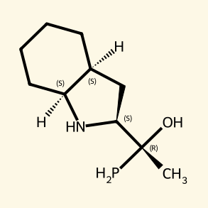 C[C@@](O)(P)[C@@H]1C[C@@H]2CCCC[C@@H]2N1